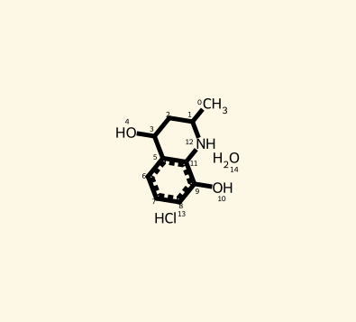 CC1CC(O)c2cccc(O)c2N1.Cl.O